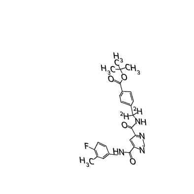 [2H]C([2H])(NC(=O)c1cc(C(=O)NCc2ccc(F)c(C)c2)ncn1)c1ccc(C(=O)OC(C)(C)C)cc1